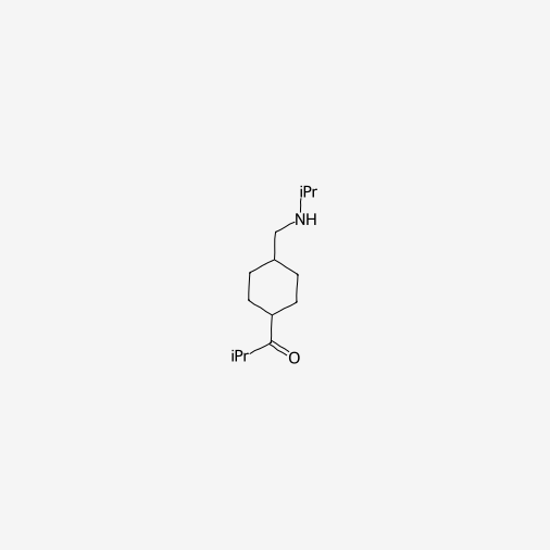 CC(C)NCC1CCC(C(=O)C(C)C)CC1